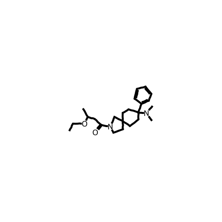 CCOC(C)CC(=O)N1CCC2(CCC(c3ccccc3)(N(C)C)CC2)C1